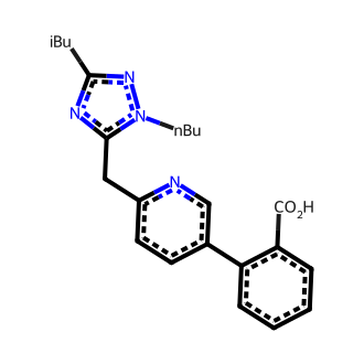 CCCCn1nc(C(C)CC)nc1Cc1ccc(-c2ccccc2C(=O)O)cn1